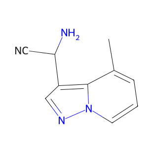 Cc1cccn2ncc(C(N)C#N)c12